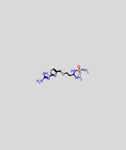 NC(N)=Nc1nc(CSCCC(N)NS(N)(=O)=O)cs1